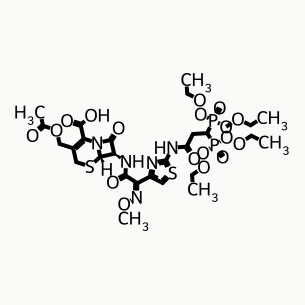 CCOOP(=O)(OOCC)C(CC(=O)Nc1nc(/C(=N/OC)C(=O)N[C@@H]2C(=O)N3C(C(=O)O)=C(COC(C)=O)CS[C@@H]23)cs1)P(=O)(OOCC)OOCC